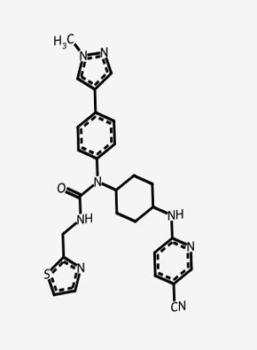 Cn1cc(-c2ccc(N(C(=O)NCc3nccs3)C3CCC(Nc4ccc(C#N)cn4)CC3)cc2)cn1